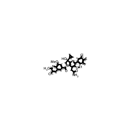 CCOc1c(CC(N)=O)cc([C@@](O)(CNC(=O)c2cc(OC)c3nc(C)c(Cl)cc3c2)C2CC2)nc1-c1cc(F)c(F)c(Cl)c1